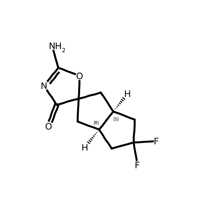 NC1=NC(=O)C2(C[C@H]3CC(F)(F)C[C@H]3C2)O1